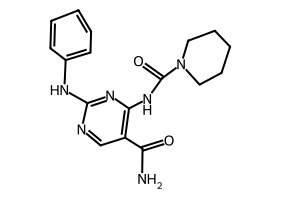 NC(=O)c1cnc(Nc2ccccc2)nc1NC(=O)N1CCCCC1